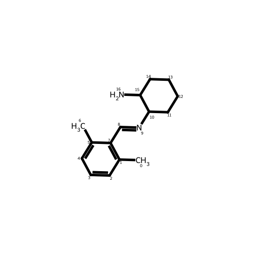 Cc1cccc(C)c1/C=N/C1CCCCC1N